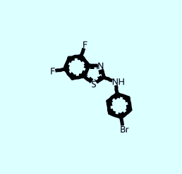 Fc1cc(F)c2nc(Nc3ccc(Br)cc3)sc2c1